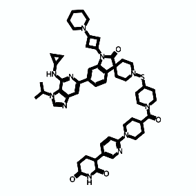 CC(C)n1cnc2cc(-c3ccc4c(c3)N(C3CC(N5CCCCC5)C3)C(=O)C43CCN(SC4CCN(C(=O)C5CCN(c6ccc(C7CCC(=O)NC7=O)cn6)CC5)CC4)CC3)nc(NC3CC3)c21